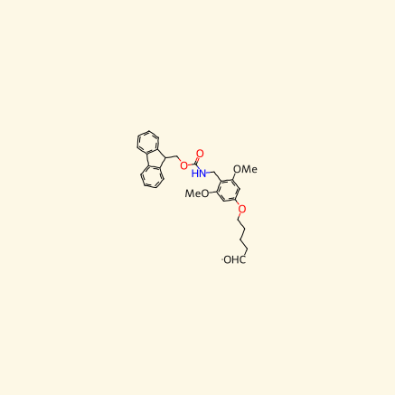 COc1cc(OCCCC[C]=O)cc(OC)c1CNC(=O)OCC1c2ccccc2-c2ccccc21